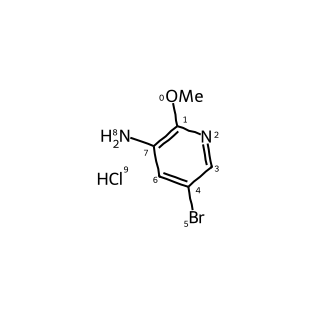 COc1ncc(Br)cc1N.Cl